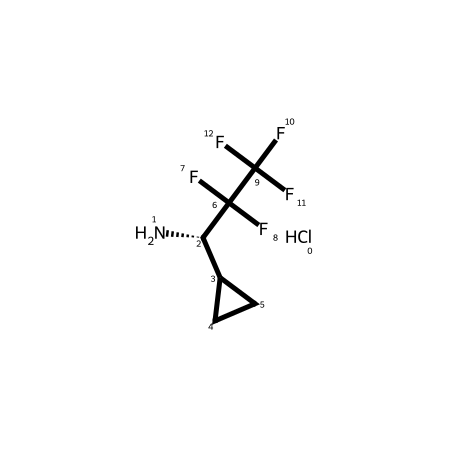 Cl.N[C@@H](C1CC1)C(F)(F)C(F)(F)F